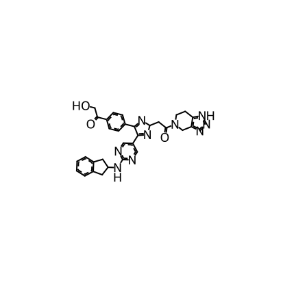 O=C(CO)c1ccc(C2=NC(CC(=O)N3CCc4[nH]nnc4C3)N=C2c2cnc(NC3Cc4ccccc4C3)nc2)cc1